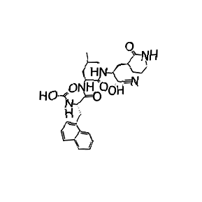 CC(C)C[C@H](NC(=O)[C@H](Cc1cccc2ccccc12)NC(=O)O)C(=O)N[C@@H](C[C@@H]1CCCNC1=O)[C@@H](O)C#N